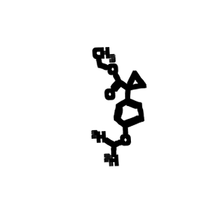 [2H]C([2H])Oc1ccc(C2(C(=O)OCC)CC2)cc1